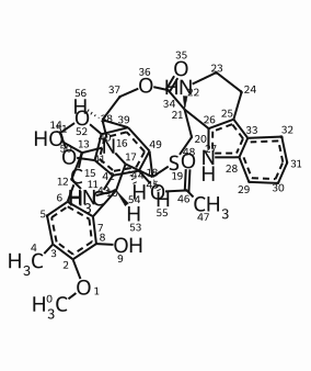 COc1c(C)cc2c(c1O)[C@@H]1NCC(O)(C2)N2[C@H]1[C@@H]1SC[C@]3(NCCc4c3[nH]c3ccccc43)C(=O)OC[C@H]2c2c3c(c(C)c(OC(C)=O)c21)OCO3